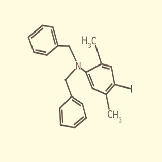 Cc1cc(N(Cc2ccccc2)Cc2ccccc2)c(C)cc1I